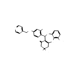 CC1(C)CC(=O)C2=C(C1)Nc1c(O)cccc1NC2c1ccc(OCc2ccncc2)cc1Cl